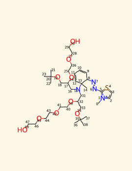 C[n+]1ccsc1/N=N/C1C=CC=CC1(C)N(CC(COC(C)(C)C)OCCOCCO)CC(COC(C)(C)C)OCCOCCOCCO